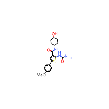 COc1ccc(-c2cc(C(=O)N[C@H]3CC[C@H](O)CC3)c(NC(N)=O)s2)cc1